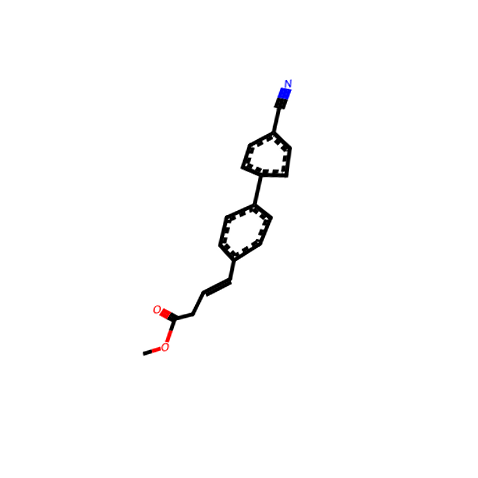 COC(=O)C/C=C/c1ccc(-c2ccc(C#N)cc2)cc1